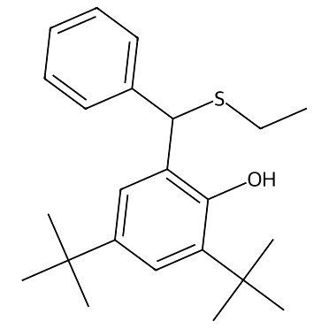 CCSC(c1ccccc1)c1cc(C(C)(C)C)cc(C(C)(C)C)c1O